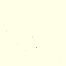 C[C@@H](NC(=N)N(C)S(=O)(=O)[C@H]1CCN(Cc2cocn2)C1)c1cc(NC(=O)c2ccc(F)cn2)ccc1F